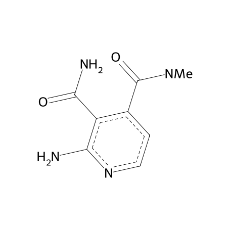 CNC(=O)c1ccnc(N)c1C(N)=O